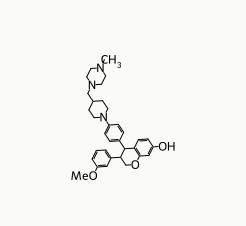 COc1cccc(C2COc3cc(O)ccc3C2c2ccc(N3CCC(CN4CCN(C)CC4)CC3)cc2)c1